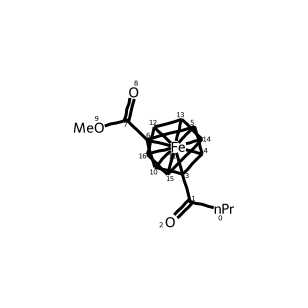 CCCC(=O)[C]12[CH]3[CH]4[C]5(C(=O)OC)[CH]1[Fe]34251678[CH]2[CH]1[CH]6[CH]7[CH]28